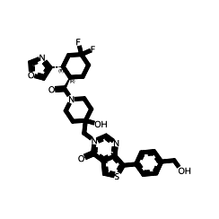 O=C([C@@H]1CCC(F)(F)C[C@H]1c1cocn1)N1CCC(O)(Cn2cnc3c(-c4ccc(CO)cc4)scc3c2=O)CC1